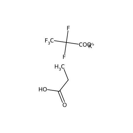 CCC(=O)O.O=C([O-])C(F)(F)C(F)(F)F.[K+]